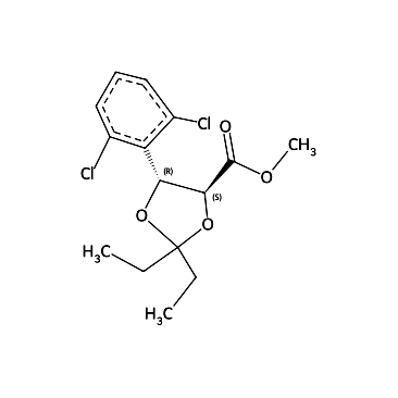 CCC1(CC)O[C@H](C(=O)OC)[C@@H](c2c(Cl)cccc2Cl)O1